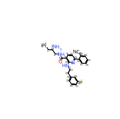 CC(C)C[C@@H](N)CNC(=O)c1ccc(-c2ccccc2C#N)nc1NCCc1cccc(F)c1